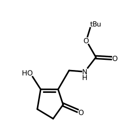 CC(C)(C)OC(=O)NCC1=C(O)CCC1=O